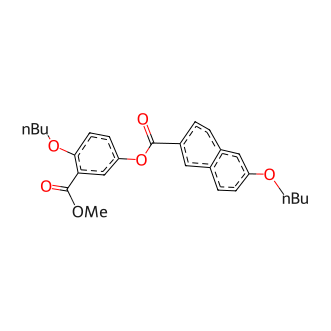 CCCCOc1ccc2cc(C(=O)Oc3ccc(OCCCC)c(C(=O)OC)c3)ccc2c1